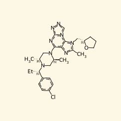 CC[C@@H](c1ccc(Cl)cc1)N1C[C@H](C)N(c2nc3nncn3c3c2nc(C)n3C[C@@H]2CCCO2)C[C@H]1C